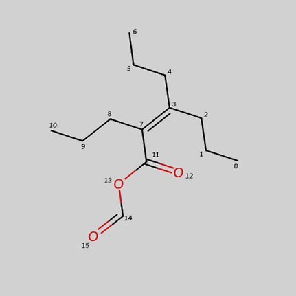 CCCC(CCC)=C(CCC)C(=O)OC=O